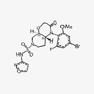 COc1cc(Br)cc(F)c1N1C(=O)CO[C@@H]2CN(S(=O)(=O)Nc3ccon3)CC[C@H]21